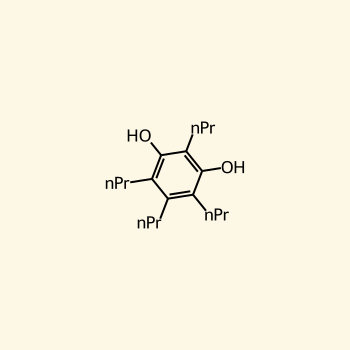 CCCc1c(O)c(CCC)c(CCC)c(CCC)c1O